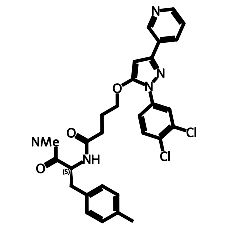 CNC(=O)[C@H](Cc1ccc(C)cc1)NC(=O)CCCOc1cc(-c2cccnc2)nn1-c1ccc(Cl)c(Cl)c1